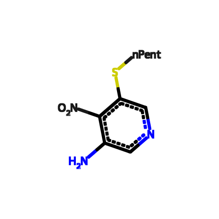 CCCCCSc1cncc(N)c1[N+](=O)[O-]